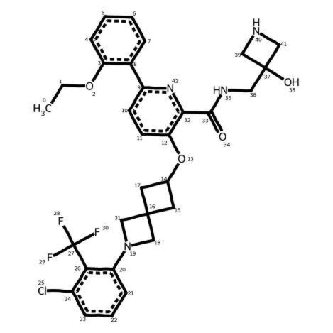 CCOc1ccccc1-c1ccc(OC2CC3(C2)CN(c2cccc(Cl)c2C(F)(F)F)C3)c(C(=O)NCC2(O)CNC2)n1